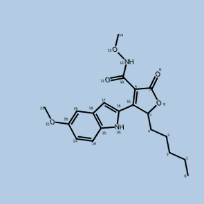 CCCCCC1OC(=O)C(C(=O)NOC)=C1c1cc2cc(OC)ccc2[nH]1